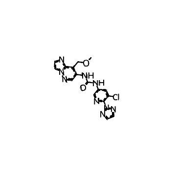 COCc1c(NC(=O)Nc2cnc(-n3nccn3)c(Cl)c2)cnn2ccnc12